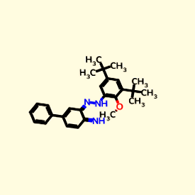 COc1c(N/N=C2/C=C(c3ccccc3)C=CC2=N)cc(C(C)(C)C)cc1C(C)(C)C